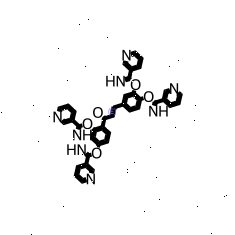 N=C(Oc1ccc(C(=O)/C=C/c2ccc(OC(=N)c3cccnc3)c(OC(=N)c3cccnc3)c2)c(OC(=N)c2cccnc2)c1)c1cccnc1